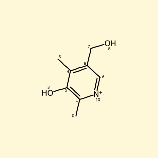 CC1=C(O)C(C)=C(CO)C=[N+]1